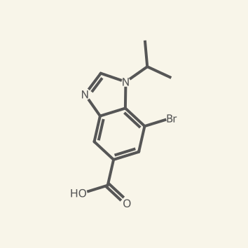 CC(C)n1cnc2cc(C(=O)O)cc(Br)c21